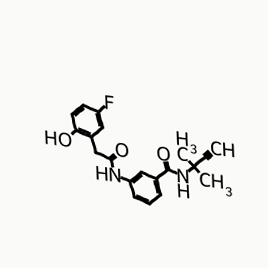 C#CC(C)(C)NC(=O)c1cccc(NC(=O)Cc2cc(F)ccc2O)c1